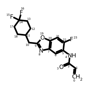 C=CC(=O)Nc1cc2nc(CC3CCC(F)(F)CC3)oc2cc1F